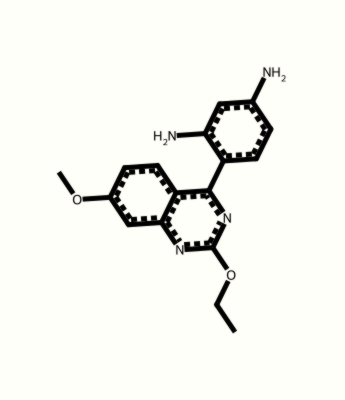 CCOc1nc(-c2ccc(N)cc2N)c2ccc(OC)cc2n1